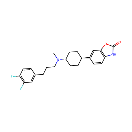 CN(CCCc1ccc(F)c(F)c1)[C@H]1CC[C@H](c2ccc3[nH]c(=O)oc3c2)CC1